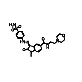 NS(=O)(=O)c1ccc(NN=C2C(=O)Nc3ccc(C(=O)NCCN4CCOCC4)cc32)cc1